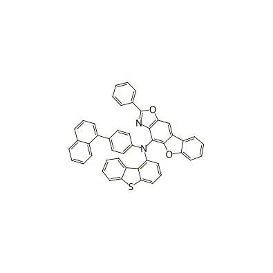 c1ccc(-c2nc3c(N(c4ccc(-c5cccc6ccccc56)cc4)c4cccc5sc6ccccc6c45)c4oc5ccccc5c4cc3o2)cc1